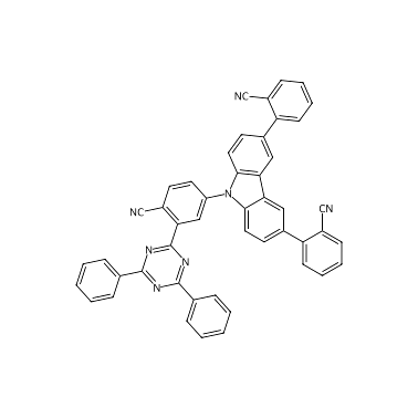 N#Cc1ccccc1-c1ccc2c(c1)c1cc(-c3ccccc3C#N)ccc1n2-c1ccc(C#N)c(-c2nc(-c3ccccc3)nc(-c3ccccc3)n2)c1